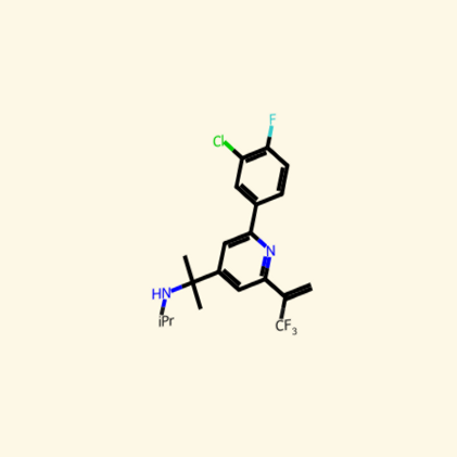 C=C(c1cc(C(C)(C)NC(C)C)cc(-c2ccc(F)c(Cl)c2)n1)C(F)(F)F